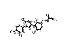 CC(C)(C)C(=O)NCc1ccc(Cl)c(-c2cn(-c3ccc(Cl)c(Cl)c3)c(=O)[nH]2)c1F